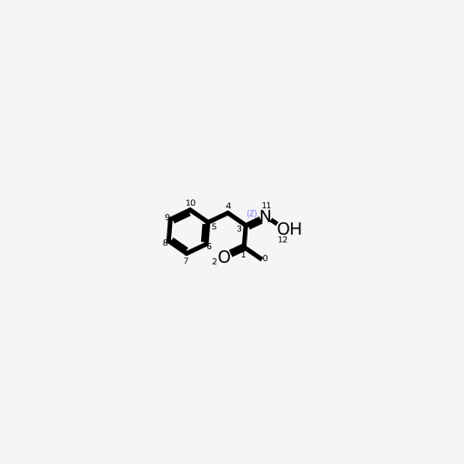 CC(=O)/C(Cc1ccccc1)=N\O